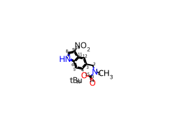 CN(Cc1ccc2[nH]cc([N+](=O)[O-])c2c1)C(=O)OC(C)(C)C